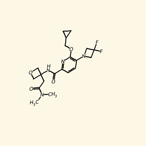 CN(C)C(=O)CC1(NC(=O)c2ccc(N3CC(F)(F)C3)c(OCC3CC3)n2)COC1